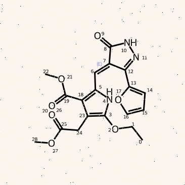 CCOc1[nH]c(/C=C2/C(=O)NN=C2c2ccco2)c(C(=O)OC)c1CC(=O)OC